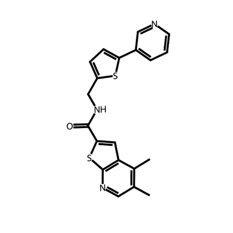 Cc1cnc2sc(C(=O)NCc3ccc(-c4cccnc4)s3)cc2c1C